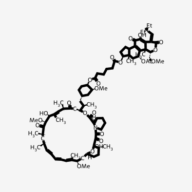 CCN(/C=C1/C(=O)O[C@H](COC)[C@@]2(C)C1=C(O)C(=O)C1=C2[C@H](OC(C)=O)C[C@@]2(C)C1CC[C@@H]2OC(=O)CCCCC(=O)O[C@@H]1CC[C@@H](C[C@@H](C)[C@@H]2CC(=O)[C@H](C)/C=C(\C)[C@@H](O)[C@@H](OC)C(=O)[C@H](C)C[C@H](C)/C=C/C=C/C=C(\C)[C@@H](OC)C[C@@H]3CC[C@@H](C)[C@@](O)(O3)C(=O)C(=O)N3CCCC[C@H]3C(=O)O2)C[C@H]1OC)CC